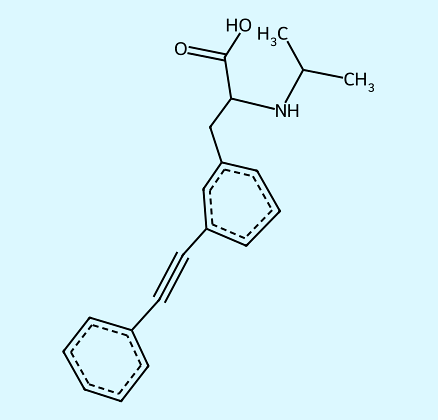 CC(C)NC(Cc1cccc(C#Cc2ccccc2)c1)C(=O)O